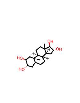 C[C@]12CC[C@H]3[C@@H](CCC4C[C@H](O)[C@@H](O)C[C@@]43C)[C@@H]1C[C@@H](O)[C@@H]2O